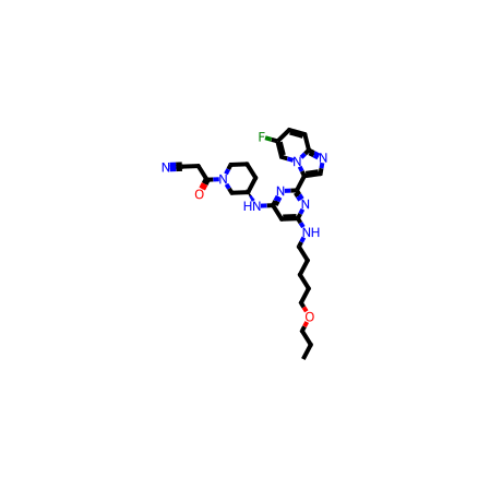 CCCOCCCCCNc1cc(N[C@@H]2CCCN(C(=O)CC#N)C2)nc(-c2cnc3ccc(F)cn23)n1